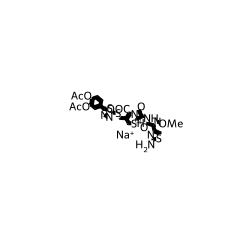 CON=C(C(=O)N[C@@H]1C(=O)N2C(C(=O)[O-])=C(CSc3nnc(-c4ccc(OC(C)=O)c(OC(C)=O)c4)s3)CS[C@@H]12)c1csc(N)n1.[Na+]